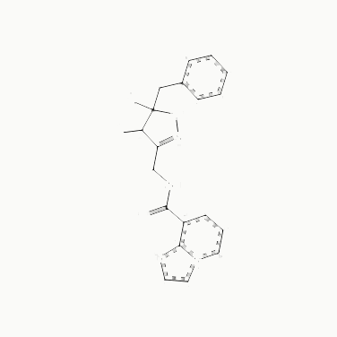 [2H]C1(Cc2ccccc2)ON=C(CNC(=O)c2cccn3ccnc23)C1C